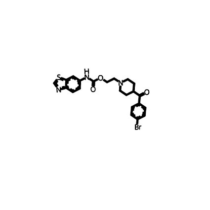 O=C(Nc1ccc2ncsc2c1)OCCN1CCC(C(=O)c2ccc(Br)cc2)CC1